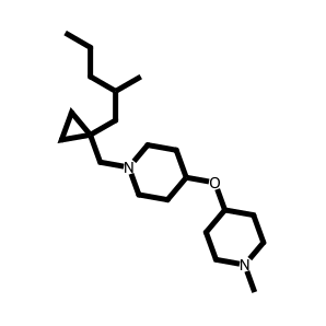 CCCC(C)CC1(CN2CCC(OC3CCN(C)CC3)CC2)CC1